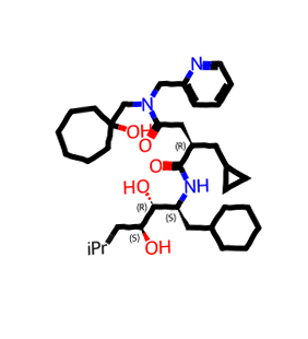 CC(C)C[C@H](O)[C@H](O)[C@H](CC1CCCCC1)NC(=O)[C@@H](CC(=O)N(Cc1ccccn1)CC1(O)CCCCCC1)CC1CC1